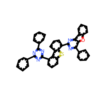 c1ccc(-c2nc(-c3ccccc3)nc(-c3cccc4sc5c(-c6nc(-c7ccccc7)c7oc8ccccc8c7n6)cccc5c34)n2)cc1